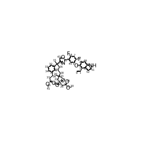 C=Cc1c(Oc2ccc(F)c(-c3nc(C(C)(CCCC(C)(C)CS(=O)(=O)CC(=O)OC)c4cccc(CCC(=O)OC)c4)co3)c2)c(F)cc2[nH]ccc12